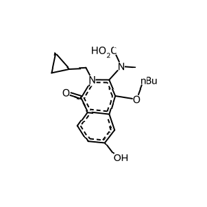 CCCCOc1c(N(C)C(=O)O)n(CC2CC2)c(=O)c2ccc(O)cc12